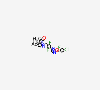 CC(=O)c1ccc2nc(Cc3cc(F)c(-c4ccnc(OCc5ccc(Cl)cc5F)n4)cc3F)n([C@@H]3COCC3(C)C)c2c1